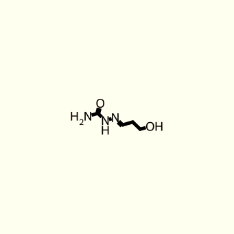 NC(=O)N/N=C/CCO